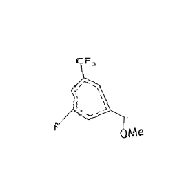 CO[CH]c1cc(F)cc(C(F)(F)F)c1